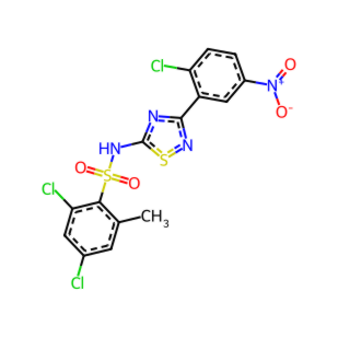 Cc1cc(Cl)cc(Cl)c1S(=O)(=O)Nc1nc(-c2cc([N+](=O)[O-])ccc2Cl)ns1